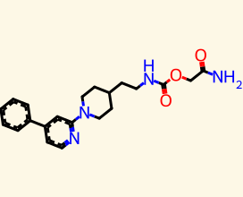 NC(=O)COC(=O)NCCC1CCN(c2cc(-c3ccccc3)ccn2)CC1